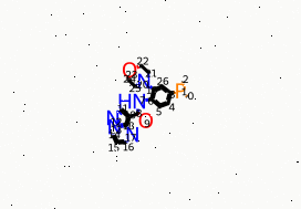 CP(C)c1ccc(NC(=O)c2cnn3cccnc23)c(N2CCOCC2)c1